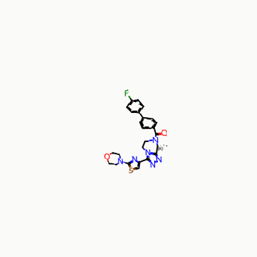 C[C@@H]1c2nnc(-c3csc(N4CCOCC4)n3)n2CCN1C(=O)c1ccc(-c2ccc(F)cc2)cc1